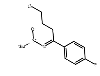 CC(C)(C)[S@+]([O-])N=C(CCCCl)c1ccc(F)cc1